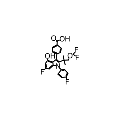 CC(C)(COC(F)F)c1c(-c2ccc(C(=O)O)cc2)c2c(O)cc(F)cc2n1-c1ccc(F)cc1